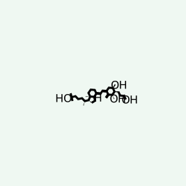 C=C1/C(=C\C=C2/CCC[C@]3(C)[C@@H]([C@H](C)CCCC(C)(C)O)CC[C@@H]23)C[C@@H](O)[C@@H](CCCO)[C@@H]1O